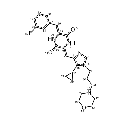 O=c1[nH]/c(=C\c2ncn(CCCN3CCOCC3)c2C2CC2)c(=O)[nH]/c1=C\c1cccc(F)c1